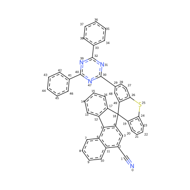 N#Cc1cc2c(c3ccccc13)-c1ccccc1C21c2ccccc2Sc2ccc(-c3nc(-c4ccccc4)nc(-c4ccccc4)n3)cc21